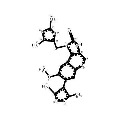 COc1cc2c(cc1-c1c(C)noc1C)ncc1[nH]c(=O)n(Cc3sc(C)nc3C)c12